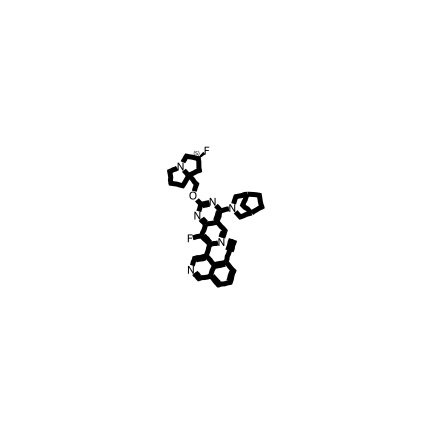 C#Cc1cccc2cncc(-c3ncc4c(N5CC6CCC(C6)C5)nc(OCC56CCCN5C[C@@H](F)C6)nc4c3F)c12